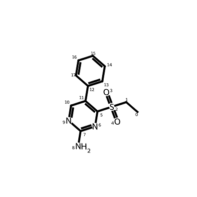 CCS(=O)(=O)c1nc(N)ncc1-c1ccccc1